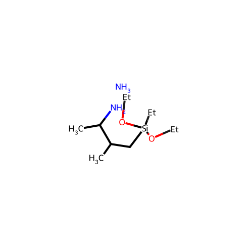 CCO[Si](CC)(CC(C)C(C)N)OCC.N